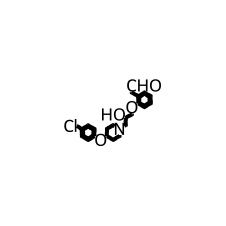 O=CCc1ccccc1OCC(O)CN1CCC(Oc2ccc(Cl)cc2)CC1